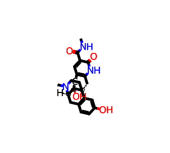 CNC(=O)c1cc2c([nH]c1=O)C[C@]13CCN(C)[C@H](Cc4ccc(O)cc41)[C@]3(O)C2